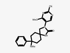 CNC1(c2ccccc2)CCC2(CC1)CN(c1cnc(C#N)nc1OC)C(=O)N2